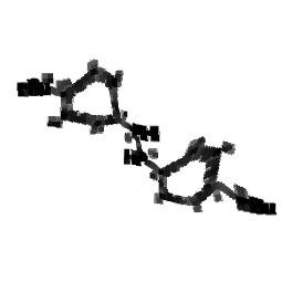 CCCCc1ccc(PPc2ccc(CCCC)cc2)cc1